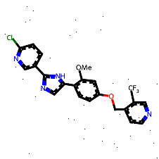 COc1cc(OCc2ccncc2C(F)(F)F)ccc1-c1cnc(-c2ccc(Cl)nc2)[nH]1